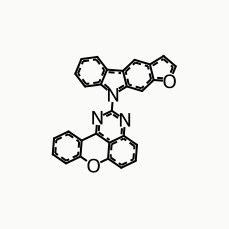 c1ccc2c(c1)Oc1cccc3nc(-n4c5ccccc5c5cc6ccoc6cc54)nc-2c13